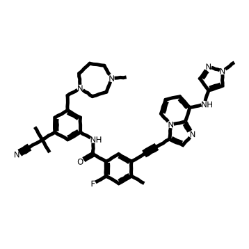 Cc1cc(F)c(C(=O)Nc2cc(CN3CCCN(C)CC3)cc(C(C)(C)C#N)c2)cc1C#Cc1cnc2c(Nc3cnn(C)c3)cccn12